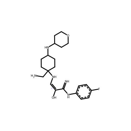 N=C(Nc1ccc(F)cc1)/C(O)=C\NC1(CN)CCC(NC2CCOCC2)CC1